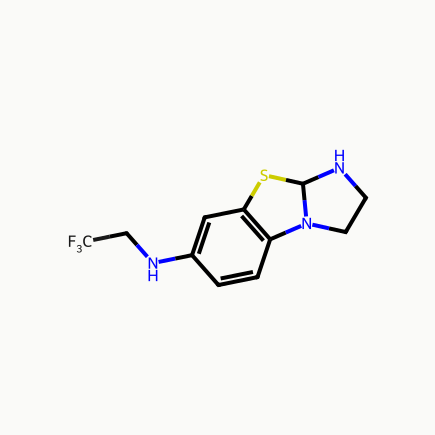 FC(F)(F)CNc1ccc2c(c1)SC1NCCN21